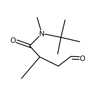 CC(CC=O)C(=O)N(C)C(C)(C)C